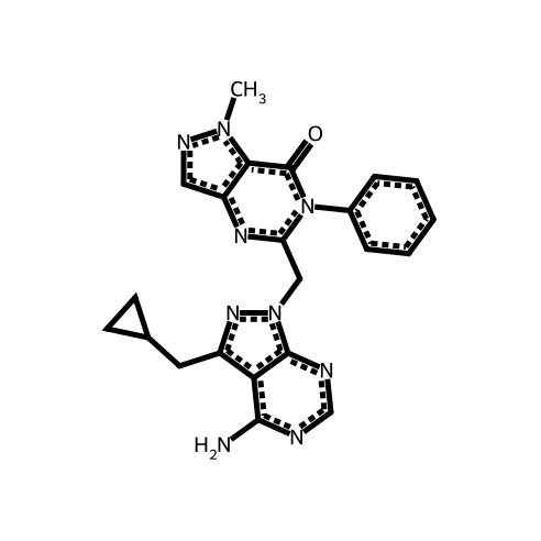 Cn1ncc2nc(Cn3nc(CC4CC4)c4c(N)ncnc43)n(-c3ccccc3)c(=O)c21